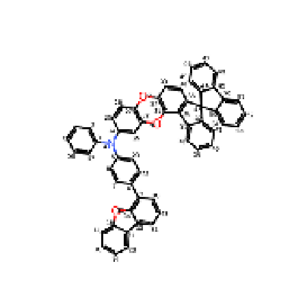 c1ccc(N(c2ccc(-c3cccc4c3oc3ccccc34)cc2)c2ccc3c(c2)Oc2c(ccc4c2-c2ccccc2C42c4ccccc4-c4ccccc42)O3)cc1